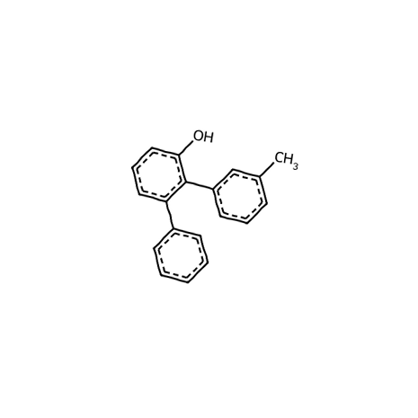 Cc1cccc(-c2c(O)cccc2-c2ccccc2)c1